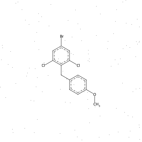 COc1ccc(Cc2c(Cl)cc(Br)cc2Cl)cc1